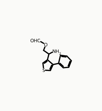 NC(COC=O)c1cscc1-c1ccccc1